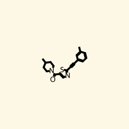 Cc1cccc(C#Cc2ncc(C(=O)N3CCC(C)CC3)s2)c1